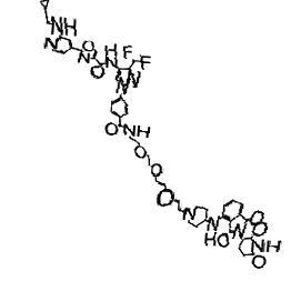 O=C1CCC(N2C(=O)c3cccc(NC4CCN(CCOCCOCCOCCNC(=O)c5ccc(-n6cc(NC(=O)c7coc(-c8ccnc(NCC9CC9)c8)n7)c(C(F)F)n6)cc5)CC4)c3C2=O)C(=O)N1